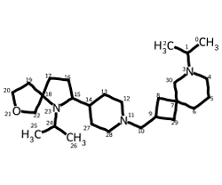 CC(C)N1CCCC2(CC(CN3CCC(C4CCC5(CCOC5)N4C(C)C)CC3)C2)C1